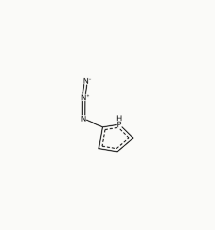 [N-]=[N+]=Nc1ccc[pH]1